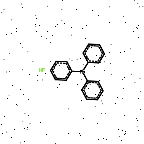 F.c1cc[c]([Pb]([c]2ccccc2)[c]2ccccc2)cc1